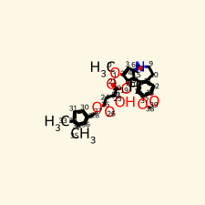 COC1=CC23CCCN2CCc2cc4c(cc2[C@@H]3C1OC(=O)[C@H](O)CC(=O)OCc1ccc(C)c(C)c1)OCO4